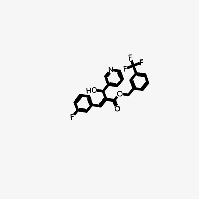 O=C(OCc1cccc(C(F)(F)F)c1)C(=Cc1cccc(F)c1)C(O)c1cccnc1